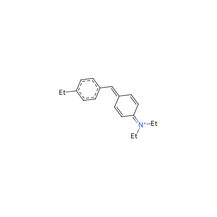 CCc1ccc(C=C2C=CC(=[N+](CC)CC)C=C2)cc1